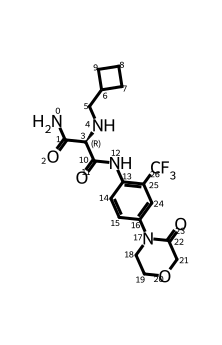 NC(=O)[C@@H](NCC1CCC1)C(=O)Nc1ccc(N2CCOCC2=O)cc1C(F)(F)F